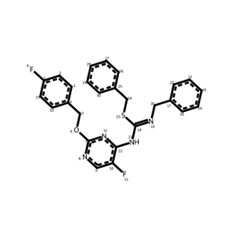 Fc1ccc(COc2ncc(F)c(N/C(=N/Cc3ccccc3)SCc3ccccc3)n2)cc1